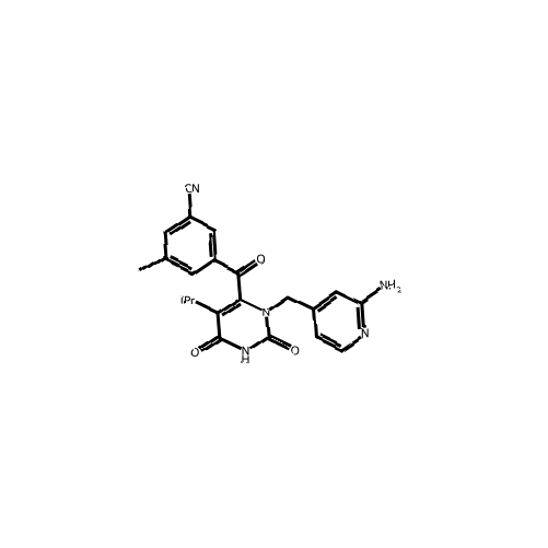 Cc1cc(C#N)cc(C(=O)c2c(C(C)C)c(=O)[nH]c(=O)n2Cc2ccnc(N)c2)c1